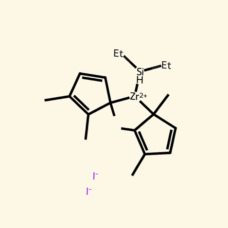 CC[SiH](CC)[Zr+2]([C]1(C)C=CC(C)=C1C)[C]1(C)C=CC(C)=C1C.[I-].[I-]